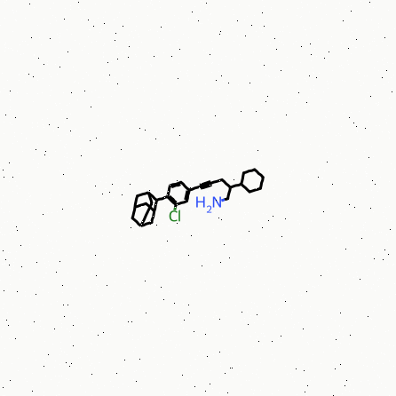 NCC(CC#Cc1ccc(C2C3CC4CC(C3)CC2C4)c(Cl)c1)C1CCCCC1